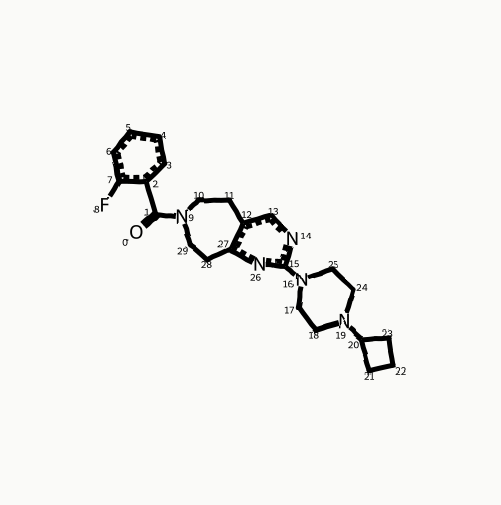 O=C(c1ccccc1F)N1CCc2cnc(N3CCN(C4CCC4)CC3)nc2CC1